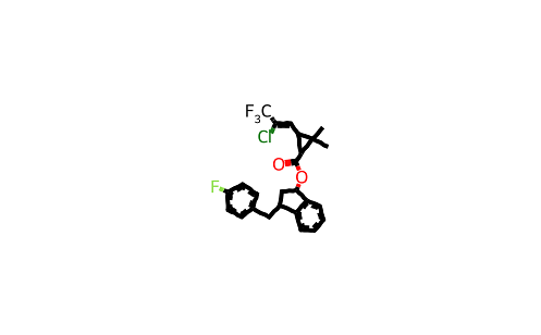 CC1(C)C(C=C(Cl)C(F)(F)F)C1C(=O)OC1CC(Cc2ccc(F)cc2)c2ccccc21